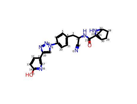 N#CC(Cc1ccc(-n2cc(-c3ccc(O)nc3)nn2)cc1)NC(=O)C1NC2CCC1C2